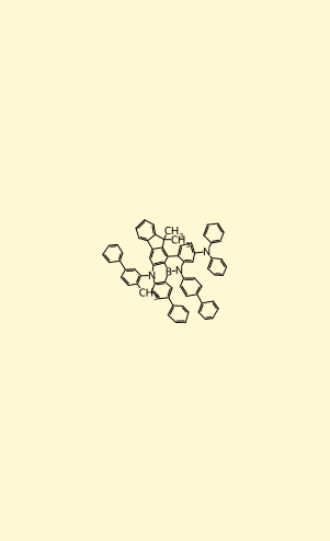 Cc1ccc(-c2ccccc2)cc1N1c2ccc(-c3ccccc3)cc2B2c3c1cc1c(c3-c3ccc(N(c4ccccc4)c4ccccc4)cc3N2c2ccc(-c3ccccc3)cc2)C(C)(C)c2ccccc2-1